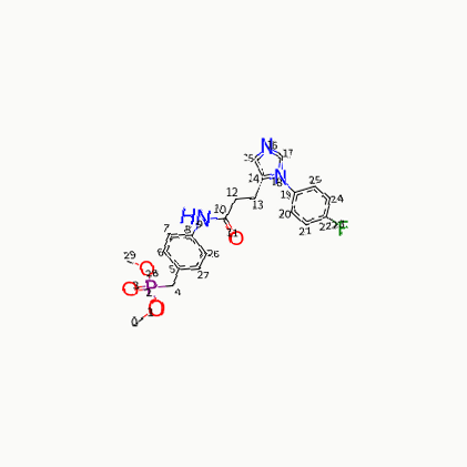 COP(=O)(Cc1ccc(NC(=O)CCc2cncn2-c2ccc(F)cc2)cc1)OC